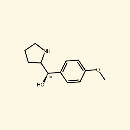 COc1ccc([C@@H](O)C2CCCN2)cc1